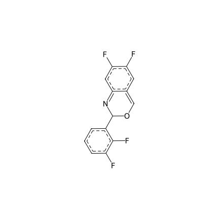 Fc1cc2c(cc1F)=NC(c1cccc(F)c1F)OC=2